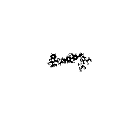 CCCCN(Cc1ncc(-c2cc3c4c(c2)OCc2cc(-c5cnc(CN(C(=O)CNC(=O)OC)[C@@H](C)CC)[nH]5)cc(c2-4)OC3)[nH]1)C(=O)[C@H](NC(=O)OC)c1ccccc1